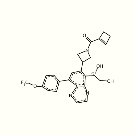 O=C(C1=CCC1)N1CC(c2cc(-c3ccc(OC(F)(F)F)cc3)c3nccnc3c2[C@H](O)CO)C1